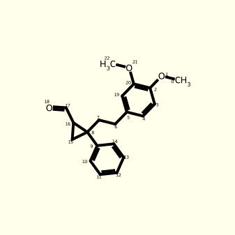 COc1ccc(CCC2(c3ccccc3)CC2C=O)cc1OC